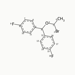 CC(Br)OC(c1ccc(F)cc1)c1ccc(F)cc1